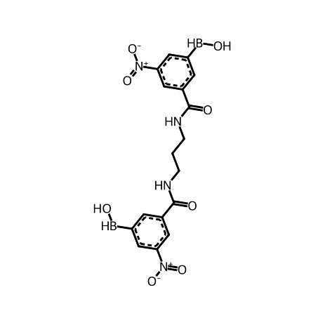 O=C(NCCCNC(=O)c1cc(BO)cc([N+](=O)[O-])c1)c1cc(BO)cc([N+](=O)[O-])c1